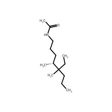 CCCC(C)(CC)[C@H](C)CCCNC(C)=O